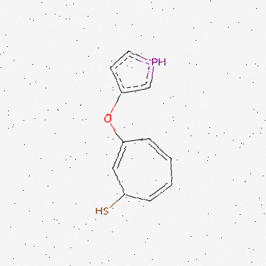 SC1C=CC=CC(Oc2cc[pH]c2)=C1